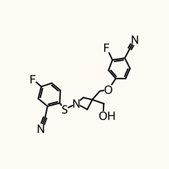 N#Cc1ccc(OCC2(CO)CN(Sc3ccc(F)cc3C#N)C2)cc1F